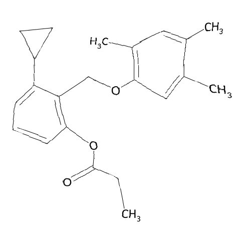 CCC(=O)Oc1cccc(C2CC2)c1COc1cc(C)c(C)cc1C